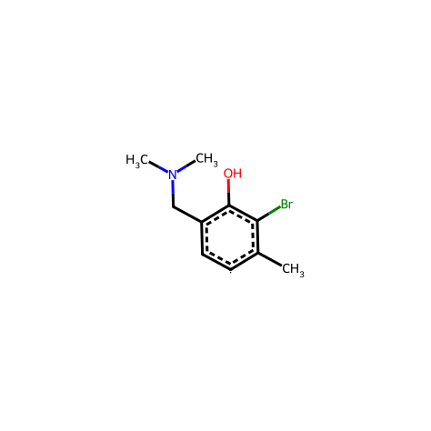 Cc1[c]cc(CN(C)C)c(O)c1Br